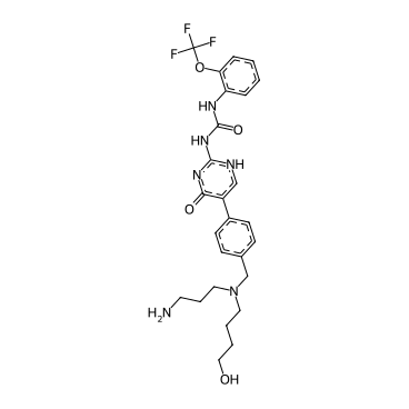 NCCCN(CCCCO)Cc1ccc(-c2c[nH]c(NC(=O)Nc3ccccc3OC(F)(F)F)nc2=O)cc1